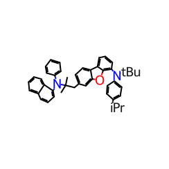 CC(C)c1ccc(N(c2cccc3c2oc2cc(CC(C)(C)N(c4ccccc4)c4cccc5ccccc45)ccc23)C(C)(C)C)cc1